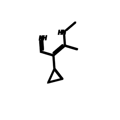 CN/C(C)=C(\C=N)C1CC1